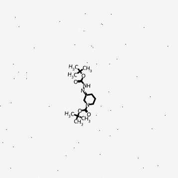 CC(C)(C)OC(=O)N/N=C1\CCCN(C(=O)OC(C)(C)C)C1